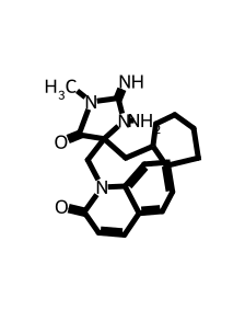 CN1C(=N)N(N)C(CC2CCCCC2)(Cn2c(=O)ccc3ccccc32)C1=O